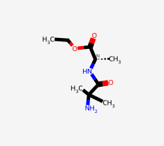 CCOC(=O)[C@H](C)NC(=O)C(C)(C)N